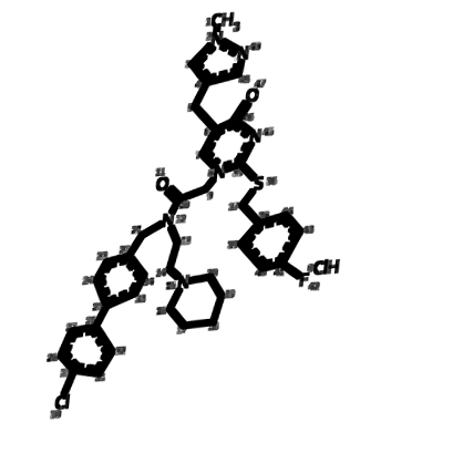 Cl.Cn1cc(Cc2cn(CC(=O)N(CCN3CCCCC3)Cc3ccc(-c4ccc(Cl)cc4)cc3)c(SCc3ccc(F)cc3)nc2=O)cn1